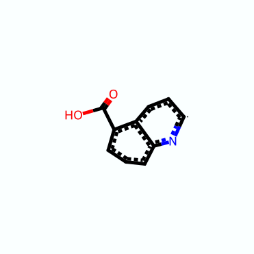 O=C(O)c1cccc2n[c]ccc12